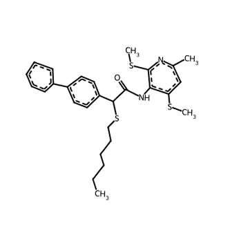 CCCCCCSC(C(=O)Nc1c(SC)cc(C)nc1SC)c1ccc(-c2ccccc2)cc1